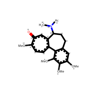 COc1cc2c(c(OC)c1OC)-c1ccc(OC)c(=O)cc1C(N(C)C(C)=O)CC2